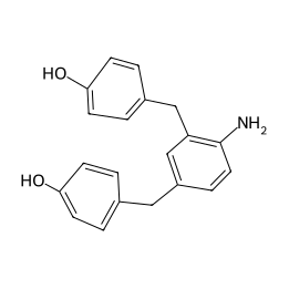 Nc1ccc(Cc2ccc(O)cc2)cc1Cc1ccc(O)cc1